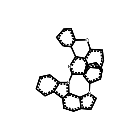 c1ccc(-n2ccc3ccc4c5ccccc5n(-c5nc6c7c(cccc7n5)Oc5ccccc5-6)c4c32)cc1